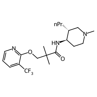 CCC[C@@H]1CN(C)CC[C@H]1NC(=O)C(C)(C)COc1ncccc1C(F)(F)F